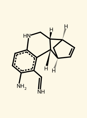 N=Cc1c(N)ccc2c1[C@@H]1[C@H](CN2)[C@H]2C=C[C@@H]1C2